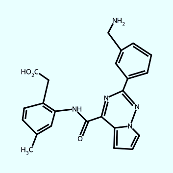 Cc1ccc(CC(=O)O)c(NC(=O)c2nc(-c3cccc(CN)c3)nn3cccc23)c1